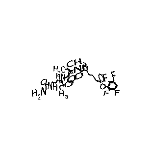 CC(=O)[C@H](CCCNC(N)=O)NC(=O)[C@@H](NC(=O)CCCCC(=O)Oc1c(F)c(F)cc(F)c1F)C(C)C